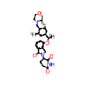 [2H]c1cc(C([2H])Oc2cccc3c2CN(C2CCC(=O)NC2=O)C3=O)cc([2H])c1CN1CCOCC1